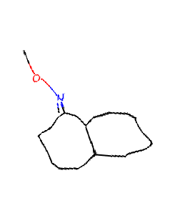 CO/N=C1\CCCC2CCCCC12